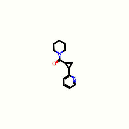 O=C(C1CC1c1ccccn1)N1CCCCC1